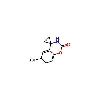 CC(C)(C)C1C=C2C(=CC1)OC(=O)NC21CC1